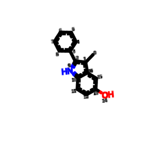 Cc1c(-c2ccccc2)[nH]c2ccc(O)cc12